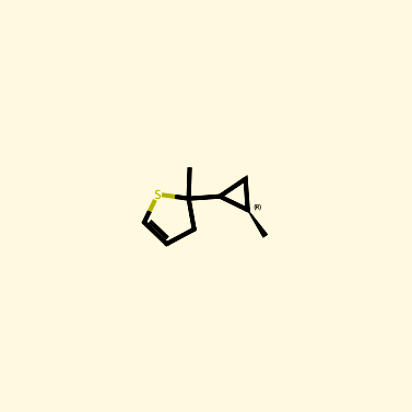 C[C@@H]1CC1C1(C)CC=CS1